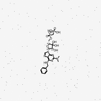 CN(C)c1nc(NCc2ccccc2)c2ncn([C@@H]3O[C@H](COP(=O)(O)CP(=O)(O)O)C(O)(O)[C@H]3O)c2n1